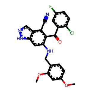 COc1ccc(CNc2cc3[nH]ncc3c(C#N)c2C(=O)c2cc(F)ccc2Cl)c(OC)c1